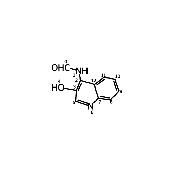 O=CNc1c(O)cnc2ccccc12